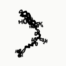 C[C@H]1C[C@H]2[C@@H]3CCC4=CC(=O)C=C[C@]4(C)[C@@]3(Cl)[C@@H](O)C[C@]2(C)[C@@]1(O)C(=O)COC(=O)CC(NC(=O)CCCCCON(O)O)C(=O)O